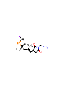 C/C(=C\C1CC(=O)N(CN)C1=O)CC(C)(C)PBI